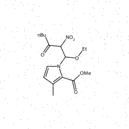 CCCCC(=O)C(C(OCC)n1ccc(C)c1C(=O)OC)[N+](=O)[O-]